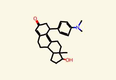 CN(C)c1ccc(C2CC(=O)C=C3CCC4C(=C32)CCC2(C)C(O)CCC42)cc1